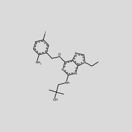 CCn1cnc2c(NCc3cc(I)ccc3N)nc(NCC(C)(C)O)nc21